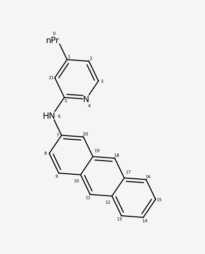 CCCc1ccnc(Nc2ccc3cc4ccccc4cc3c2)c1